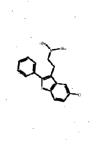 CCCCN(CCCC)CCc1c(-c2ccccc2)sc2ccc(Cl)cc12